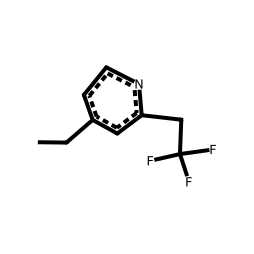 CCc1ccnc(CC(F)(F)F)c1